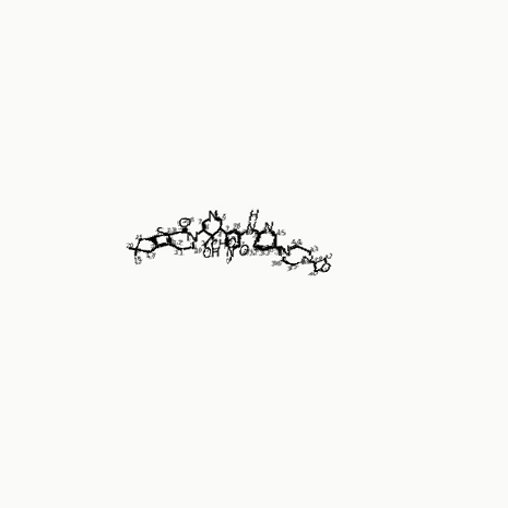 Cn1cc(C2C=NC=C(N3CCc4c(sc5c4CC(C)(C)C5)C3=O)C2(C=O)CO)cc(Nc2ccc(N3CCN(C4COC4)CC3)cn2)c1=O